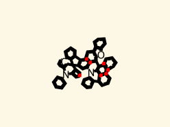 c1ccc(-c2cccc(-c3ccccc3N(c3ccc4c(c3)C3(c5ccccc5-4)c4ccccc4N(c4ccccc4)c4ccccc43)c3ccccc3-c3cccc4c3oc3ccccc34)c2)cc1